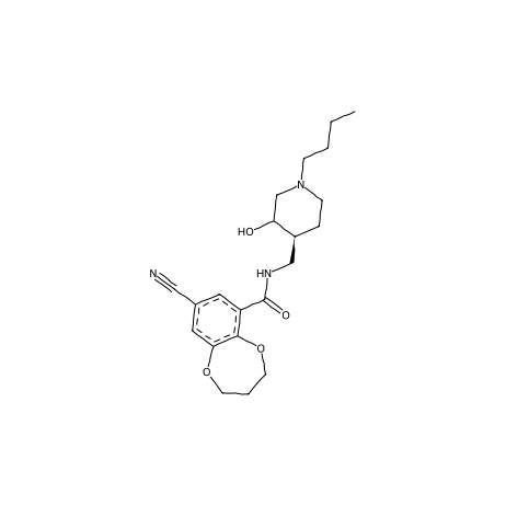 CCCCN1CC[C@@H](CNC(=O)c2cc(C#N)cc3c2OCCCO3)C(O)C1